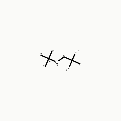 CC(F)(F)COC(C)(C)C